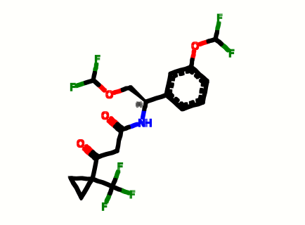 O=C(CC(=O)C1(C(F)(F)F)CC1)N[C@@H](COC(F)F)c1cccc(OC(F)F)c1